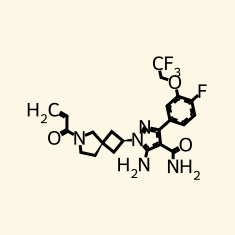 C=CC(=O)N1CC[C@]2(C1)C[C@H](n1nc(-c3ccc(F)c(OCC(F)(F)F)c3)c(C(N)=O)c1N)C2